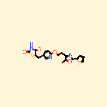 Cc1oc(-c2cccs2)nc1CCOc1ccc(CC2SC(=O)NC2=O)cn1